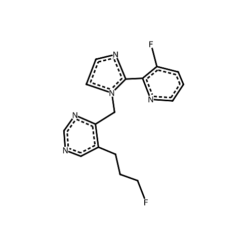 FCCCc1cncnc1Cn1ccnc1-c1ncccc1F